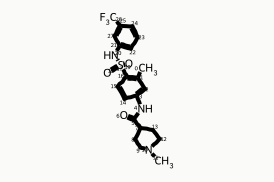 Cc1cc(NC(=O)C2CCN(C)CC2)ccc1S(=O)(=O)Nc1cccc(C(F)(F)F)c1